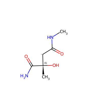 CNC(=O)[CH][C@](C)(O)C(N)=O